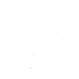 CC(C)c1cccnc1O[C@@H]1CC[C@H](c2cnc3[nH]c(-c4ccnn4C)cc3c2)C1